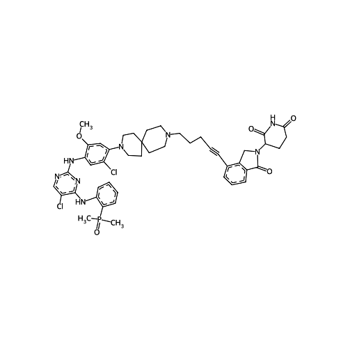 COc1cc(N2CCC3(CCN(CCCC#Cc4cccc5c4CN(C4CCC(=O)NC4=O)C5=O)CC3)CC2)c(Cl)cc1Nc1ncc(Cl)c(Nc2ccccc2P(C)(C)=O)n1